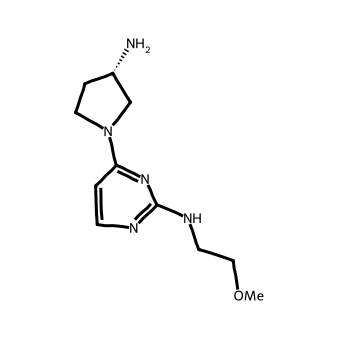 COCCNc1nccc(N2CC[C@H](N)C2)n1